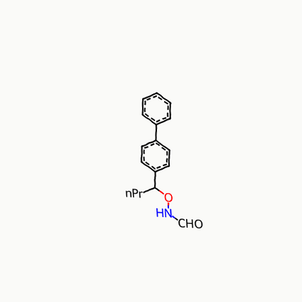 CCCC(ONC=O)c1ccc(-c2ccccc2)cc1